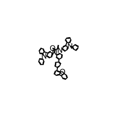 C=C1C(=O)N(c2ccc3c(c2)c2ccccc2n3-c2ccccc2)c2cc(-c3ccc(-c4cccc5c4OC4C=CC=CC54)cc3)ccc2N1c1ccc2c(c1)c1ccccc1n2-c1ccccc1